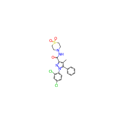 Cc1c(C(=O)NN2CCS(=O)(=O)CC2)nn(-c2ccc(Cl)cc2Cl)c1-c1ccccc1